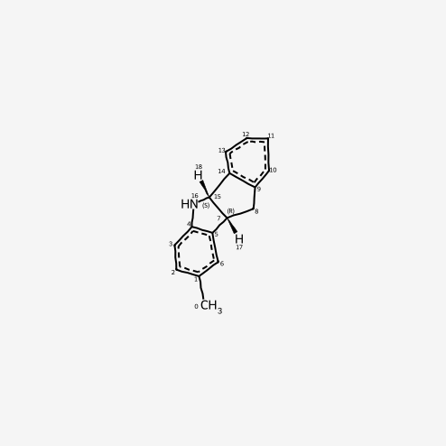 Cc1ccc2c(c1)[C@H]1Cc3ccccc3[C@H]1N2